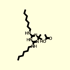 CC(=O)O.CCCCCCCNC1=NC(C)(C)N=C(NCCCCCC)N1